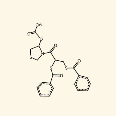 O=C(O)OC1CSCN1C(=O)C(CSC(=O)c1ccccc1)SC(=O)c1ccccc1